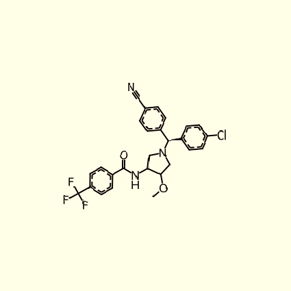 COC1CN([C@H](c2ccc(Cl)cc2)c2ccc(C#N)cc2)CC1NC(=O)c1ccc(C(F)(F)F)cc1